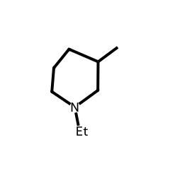 CCN1CCCC(C)C1